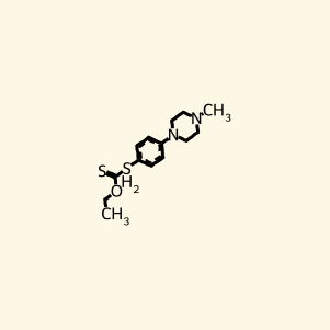 CCOC(=S)[SH2]c1ccc(N2CCN(C)CC2)cc1